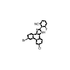 N#Cc1cccc(F)c1-c1nc2c3ccc(Br)cc3c3cc(Cl)ccc3c2[nH]1